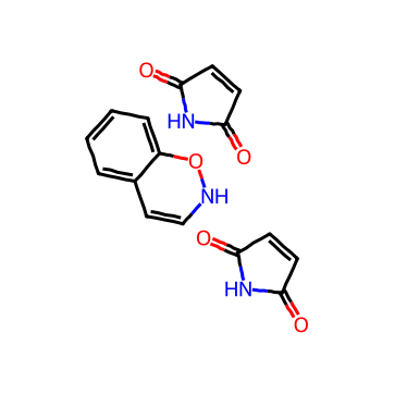 C1=Cc2ccccc2ON1.O=C1C=CC(=O)N1.O=C1C=CC(=O)N1